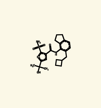 CC(C)(O)c1cc(C(=O)Nc2c(CC3CCC3)ccc3c2CCC3)c(S(N)(=O)=O)s1